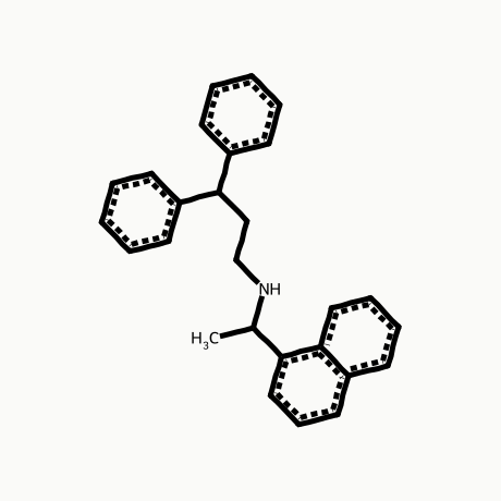 CC(NCCC(c1ccccc1)c1ccccc1)c1cccc2ccccc12